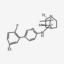 CCc1ccc(F)c(-c2ccc(N[C@H]3C4CCN(CC4)[C@@H]3C)nc2)c1